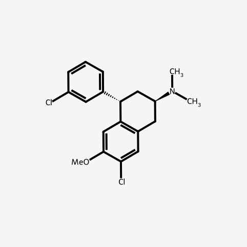 COc1cc2c(cc1Cl)C[C@H](N(C)C)C[C@H]2c1cccc(Cl)c1